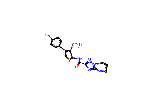 O=C(Nc1scc(-c2ccc(Cl)cc2)c1C(=O)O)c1nc2ncccn2n1